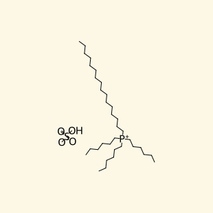 CCCCCCCCCCCCCCCC[P+](CCCCCC)(CCCCCC)CCCCCC.O=S(=O)([O-])O